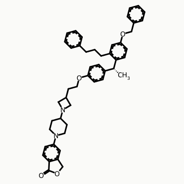 C[C@H](c1ccc(OCCC2CN(C3CCN(c4ccc5c(c4)COC5=O)CC3)C2)cc1)c1ccc(OCc2ccccc2)cc1CCCc1ccccc1